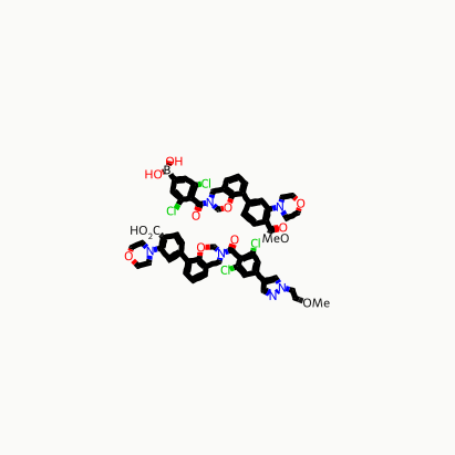 COC(=O)c1ccc(-c2cccc3c2OCN(C(=O)c2c(Cl)cc(B(O)O)cc2Cl)C3)cc1N1CCOCC1.COCCn1cc(-c2cc(Cl)c(C(=O)N3COc4c(cccc4-c4ccc(C(=O)O)c(N5CCOCC5)c4)C3)c(Cl)c2)cn1